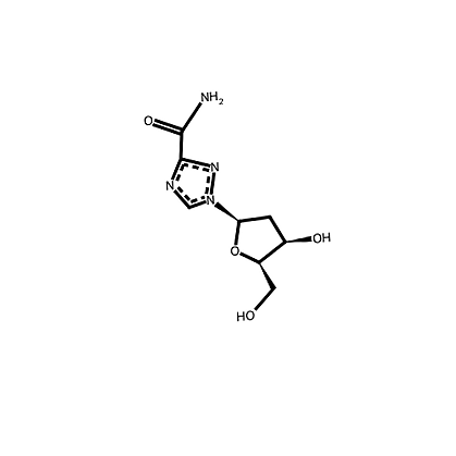 NC(=O)c1ncn([C@H]2C[C@@H](O)[C@@H](CO)O2)n1